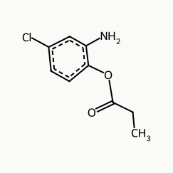 CCC(=O)Oc1ccc(Cl)cc1N